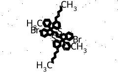 CCCCCCc1cccc(C2(c3cccc(C)c3)c3cc(Br)ccc3-c3sc4c5c(sc4c32)-c2ccc(Br)cc2C5(c2cccc(C)c2)c2cccc(CCCCCC)c2)c1